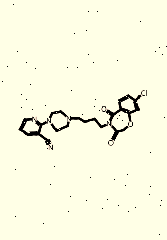 N#Cc1cccnc1N1CCN(CCCCN2C(=O)COc3cc(Cl)ccc3C2=O)CC1